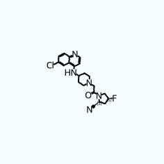 N#C[C@@H]1C[C@H](F)CN1C(=O)CN1CCC(Nc2ccnc3ccc(Cl)cc23)CC1